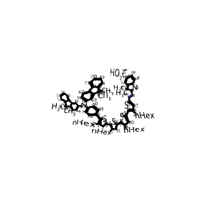 CCCCCCc1cc(-c2sc(-c3sc(-c4sc(/C=C/C5=Nc6ccc(C(=O)O)cc6C5(C)C)cc4CCCCCC)cc3CCCCCC)cc2CCCCCC)sc1-c1ccc(N(c2ccc3c(c2)-c2ccccc2C3(C)C)c2ccc3c(c2)C(C)(C)c2ccccc2-3)cc1